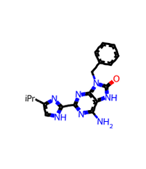 CC(C)c1c[nH]c(-c2nc(N)c3[nH]c(=O)n(Cc4ccccc4)c3n2)n1